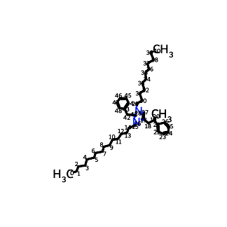 CCCCCCCCCCCCCCCC[n+]1c(CC(C)c2ccccc2)cn(CCCCCCCCCCCC)c1Cc1ccccc1